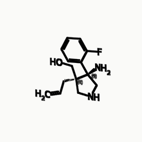 C=CC[C@@]1(CO)CNC[C@@]1(N)c1ccccc1F